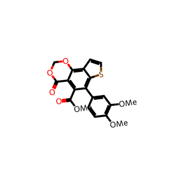 COC(=O)c1c2c(c3ccsc3c1-c1ccc(OC)c(OC)c1)OCOC2=O